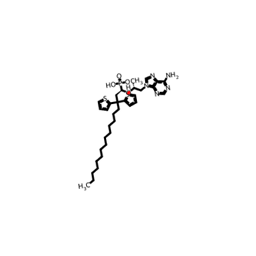 CCCCCCCCCCCCCCC(C[C@H](O[C@H](C)Cn1cnc2c(N)ncnc21)P(=O)(O)O)(c1cccs1)c1cccs1